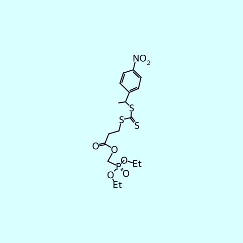 CCOP(=O)(COC(=O)CCSC(=S)SC(C)c1ccc([N+](=O)[O-])cc1)OCC